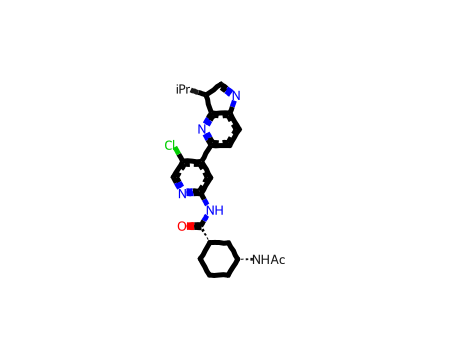 CC(=O)N[C@@H]1CCC[C@H](C(=O)Nc2cc(-c3ccc4c(n3)C(C(C)C)C=N4)c(Cl)cn2)C1